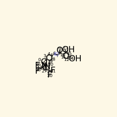 COc1ccc(/C=C/C(=O)c2ccc(O)cc2O)cc1Cn1nc(C(F)F)cc1C(F)F